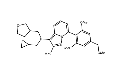 COCc1cc(OC)c(-c2cccc3c(N(CC4CC4)CC4CCOC4)c(SC)nn23)c(OC)c1